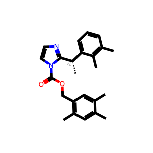 Cc1cc(C)c(COC(=O)n2ccnc2[C@@H](C)c2cccc(C)c2C)cc1C